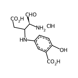 Cl.N[C@H](C=O)C(CC(=O)O)Nc1ccc(O)c(C(=O)O)c1